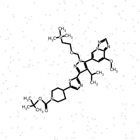 COc1cc(-c2c(C(C)C)c(-c3ncc(C4CCN(C(=O)OC(C)(C)C)CC4)s3)nn2COCC[Si](C)(C)C)cn2ncnc12